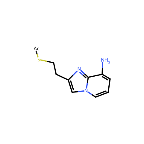 CC(=O)SCCc1cn2cccc(N)c2n1